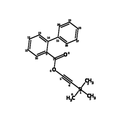 C[Si](C)(C)C#COC(=O)c1ccccc1-c1ccccc1